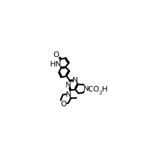 CC1COCCN1c1nc(-c2ccc3[nH]c(=O)ccc3c2)nc2c1CCN(C(=O)O)C2